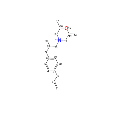 C=CCc1ccc(CC(C)CN2CC(C)OC(C)C2)cc1